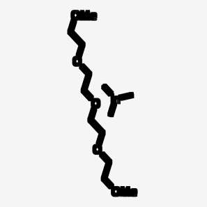 COCCOCCOCCOCCOC.[CH3][In]([CH3])[CH3]